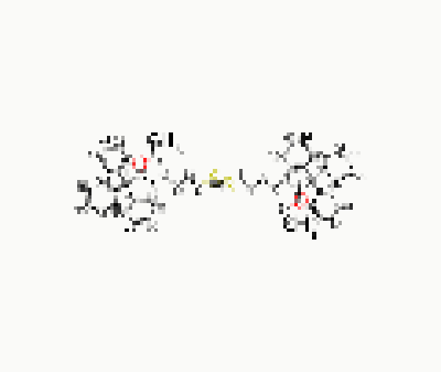 CCOC(CCCCCSSCCCCCC(OCC)C(c1ccccc1)(c1ccccc1)c1ccccc1)C(c1ccccc1)(c1ccccc1)c1ccccc1